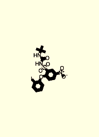 CC(C)(C)NC(=O)NS(=O)(=O)c1cc([N+](=O)[O-])ccc1Oc1ccccc1I